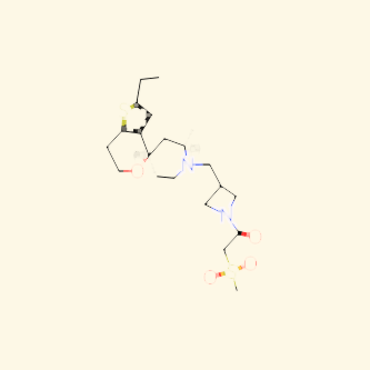 CCc1cc2c(s1)CCO[C@@]21CCN(CC2CN(C(=O)CS(C)(=O)=O)C2)[C@@H](C)C1